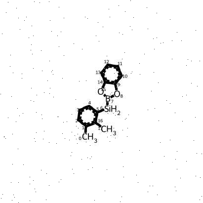 Cc1cccc([SiH2]B2Oc3ccccc3O2)c1C